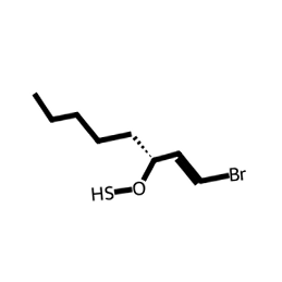 CCCCC[C@H](/C=C/Br)OS